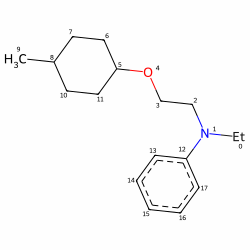 CCN(CCOC1CCC(C)CC1)c1ccccc1